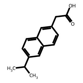 CC(C)c1ccc2cc(CC(=O)O)ccc2c1